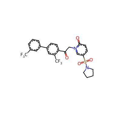 O=C(Cn1cc(S(=O)(=O)N2CCCC2)ccc1=O)c1ccc(-c2cccc(C(F)(F)F)c2)cc1C(F)(F)F